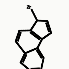 [Zr][CH]1C=Cc2c1ccc1ccccc21